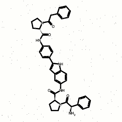 N[C@@H](C(=O)N1CCC[C@H]1C(=O)Nc1ccc2[nH]c(-c3ccc(NC(=O)[C@@H]4CCCN4C(=O)Cc4ccccc4)cc3)cc2c1)c1ccccc1